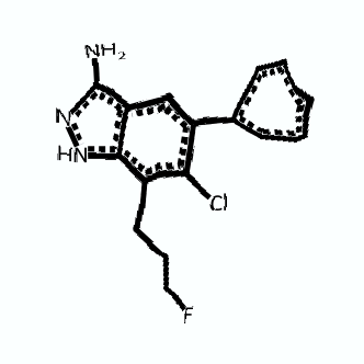 Nc1n[nH]c2c(CCCF)c(Cl)c(-c3ccccc3)cc12